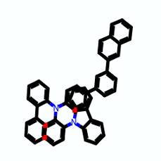 c1ccc(-c2ccccc2N(c2ccc(-c3cccc(-c4ccc5ccccc5c4)c3)cc2)c2ccccc2-n2c3ccccc3c3ccccc32)cc1